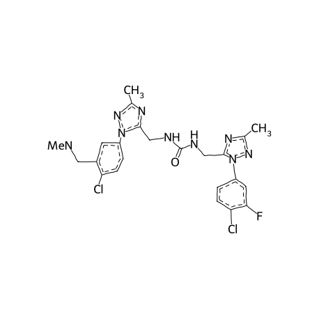 CNCc1cc(-n2nc(C)nc2CNC(=O)NCc2nc(C)nn2-c2ccc(Cl)c(F)c2)ccc1Cl